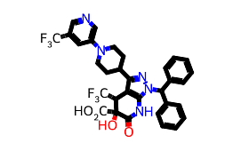 O=C(O)C1(O)C(=O)Nc2c(c(C3CCN(c4cncc(C(F)(F)F)c4)CC3)nn2C(c2ccccc2)c2ccccc2)C1C(F)(F)F